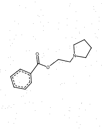 O=C(OCCN1CCCC1)c1ccccc1